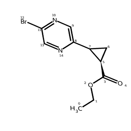 CCOC(=O)[C@@H]1CC1c1cnc(Br)cn1